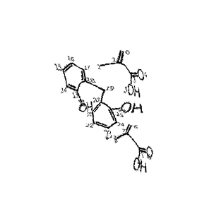 C=C(C)C(=O)O.C=C(C)C(=O)O.Oc1ccccc1Cc1ccccc1O